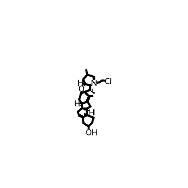 CC1=C2C[C@H]3C(CC=C4CC(O)CCC43C)[C@@H]2CCC12O[C@@H]1CC(C)CN(CCCl)C1[C@H]2C